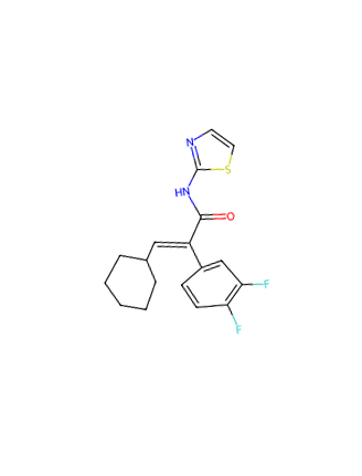 O=C(Nc1nccs1)/C(=C/C1CCCCC1)c1ccc(F)c(F)c1